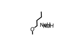 CCCCOC.[NaH].[NaH]